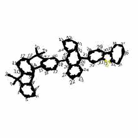 CC1(C)c2ccccc2-c2c1ccc1c2-c2ccc(-c3c4ccccc4c(-c4ccc5c(c4)sc4ccccc45)c4ccccc34)cc2C1(C)C